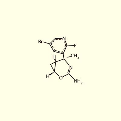 C[C@]1(c2cc(Br)cnc2F)N=C(N)O[C@@H]2C[C@@H]21